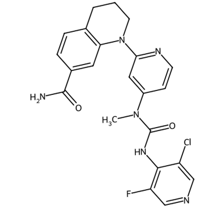 CN(C(=O)Nc1c(F)cncc1Cl)c1ccnc(N2CCCc3ccc(C(N)=O)cc32)c1